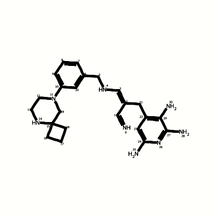 N=C/C(=C\NCc1cccc(N2CCNC3(CCC3)C2)c1)Cc1cc(N)nc(N)c1N